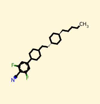 CCCCC[C@H]1CC[C@H](CCC2CCC(c3cc(F)c(C#N)c(F)c3)CC2)CC1